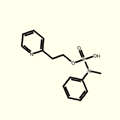 CN(c1ccccc1)P(=O)(O)OCCc1ccccn1